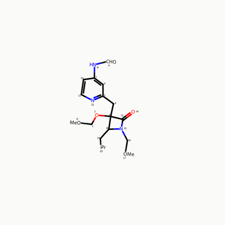 COCOC1(Cc2cc(NC=O)ccn2)C(=O)N(COC)C1CC(C)C